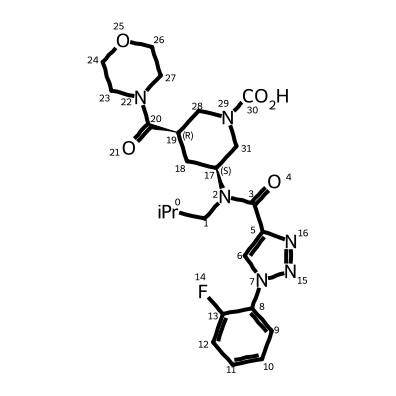 CC(C)CN(C(=O)c1cn(-c2ccccc2F)nn1)[C@H]1C[C@@H](C(=O)N2CCOCC2)CN(C(=O)O)C1